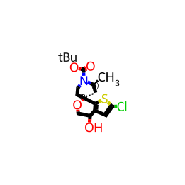 C[C@H]1C[C@@]2(CCN1C(=O)OC(C)(C)C)OCC(O)c1cc(Cl)sc12